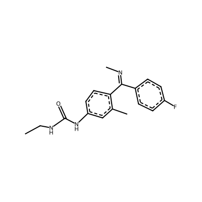 CCNC(=O)Nc1ccc(/C(=N\C)c2ccc(F)cc2)c(C)c1